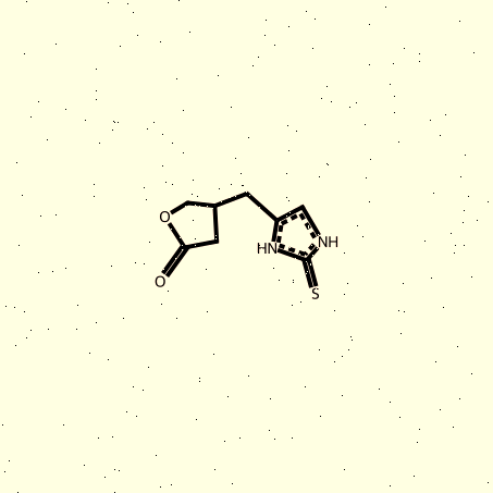 O=C1CC(Cc2c[nH]c(=S)[nH]2)CO1